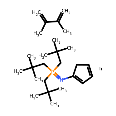 C=C(C)C(=C)C.CC(C)(C)CP(CC(C)(C)C)(CC(C)(C)C)=NC1=CC=CC1.[Ti]